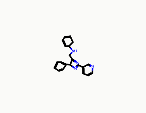 C1=CCC(NCC2=NC(c3cccnc3)=NC2c2ccccc2)C=C1